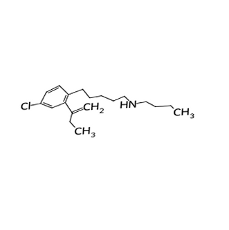 C=C(CC)c1cc(Cl)ccc1CCCCCNCCCC